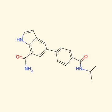 CC(C)NC(=O)c1ccc(-c2cc(C(N)=O)c3[nH]ccc3c2)cc1